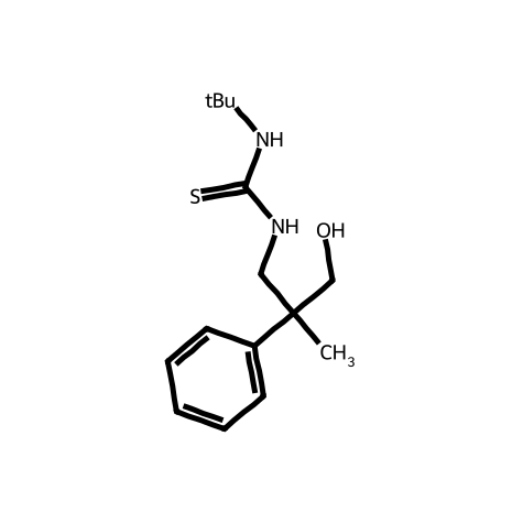 CC(C)(C)NC(=S)NCC(C)(CO)c1ccccc1